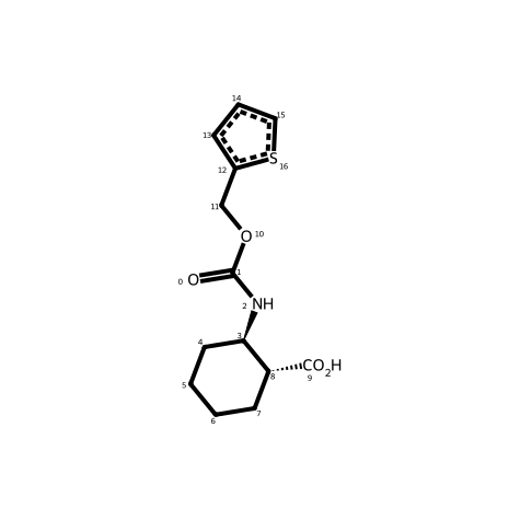 O=C(N[C@@H]1CCCC[C@H]1C(=O)O)OCc1cccs1